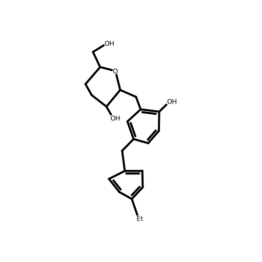 CCc1ccc(Cc2ccc(O)c(CC3OC(CO)CCC3O)c2)cc1